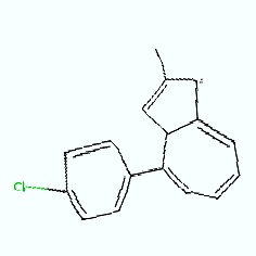 CC1=CC2C(=CC=CC=C2c2ccc(Cl)cc2)[C]1